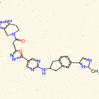 CC1N=CC(c2ccc3c(c2)CC(Nc2ncc(-c4nnc(CC(=O)N5CCc6[nH]nnc6C5)o4)cn2)C3)=N1